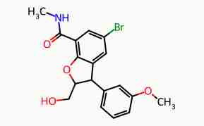 CNC(=O)c1cc(Br)cc2c1OC(CO)C2c1cccc(OC)c1